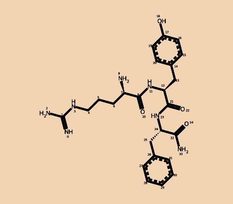 N=C(N)NCCC[C@@H](N)C(=O)N[C@@H](Cc1ccc(O)cc1)C(=O)N[C@@H](Cc1ccccc1)C(N)=O